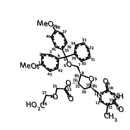 COc1ccc(C(OC[C@H]2O[C@@H](n3cc(C)c(=O)[nH]c3=O)C[C@@H]2OC(=O)COCC(=O)O)(c2ccccc2)c2ccc(OC)cc2)cc1